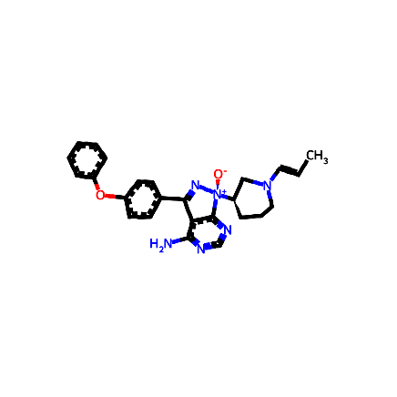 CC=CN1CCC[C@@H]([N@@+]2([O-])N=C(c3ccc(Oc4ccccc4)cc3)c3c(N)ncnc32)C1